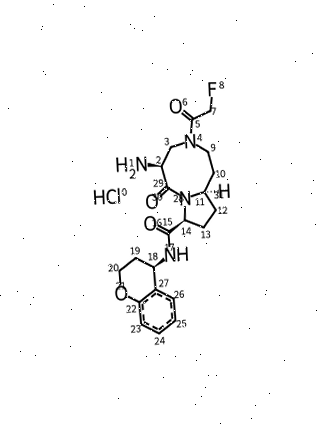 Cl.N[C@H]1CN(C(=O)CF)CC[C@H]2CC[C@@H](C(=O)N[C@@H]3CCOc4ccccc43)N2C1=O